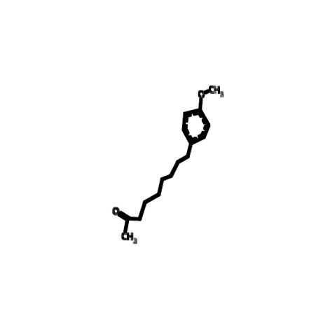 COc1ccc(CCCCCCCC(C)=O)cc1